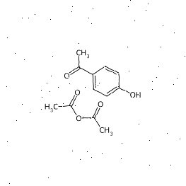 CC(=O)OC(C)=O.CC(=O)c1ccc(O)cc1